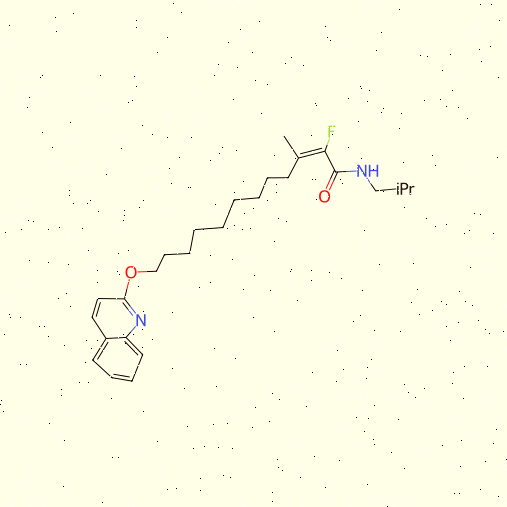 C/C(CCCCCCCCCOc1ccc2ccccc2n1)=C(\F)C(=O)NCC(C)C